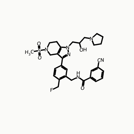 CS(=O)(=O)N1CCc2c(c(-c3ccc(CF)c(CNC(=O)c4cccc(C#N)c4)c3)nn2CC(O)CN2CCCC2)C1